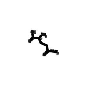 N[C@@H](CCC([15NH2])=O)C(=O)O